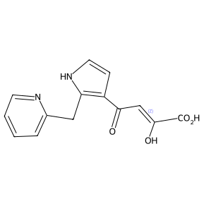 O=C(O)/C(O)=C/C(=O)c1cc[nH]c1Cc1ccccn1